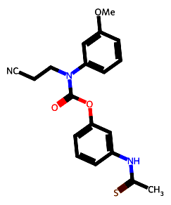 COc1cccc(N(CCC#N)C(=O)Oc2cccc(NC(C)=S)c2)c1